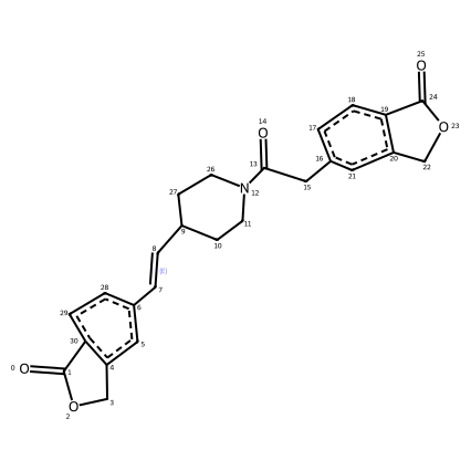 O=C1OCc2cc(/C=C/C3CCN(C(=O)Cc4ccc5c(c4)COC5=O)CC3)ccc21